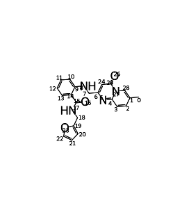 Cc1ccc2nc(CNc3ccccc3C(=O)NCc3ccco3)cc(=O)n2c1